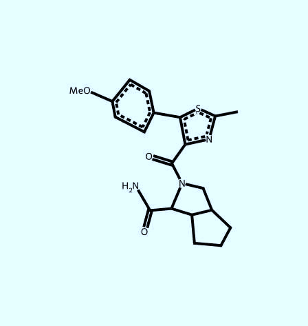 COc1ccc(-c2sc(C)nc2C(=O)N2CC3CCCC3C2C(N)=O)cc1